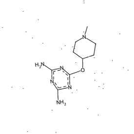 CN1CCC(Oc2nc(N)nc(N)n2)CC1